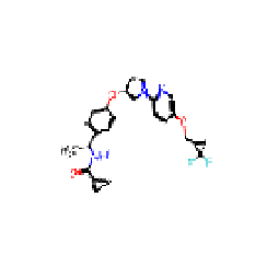 C[C@H](NC(=O)C1CC1)c1ccc(O[C@@H]2CCN(c3ccc(OCC4CC4(F)F)cn3)C2)cc1